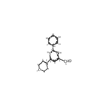 O=Cc1cc(N2CCOCC2)nc(-c2ccccc2)n1